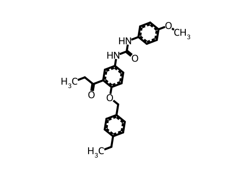 CCC(=O)c1cc(NC(=O)Nc2ccc(OC)cc2)ccc1OCc1ccc(CC)cc1